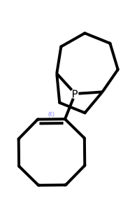 C1=C(/P2C3CCCCC2CC3)CCCCCC/1